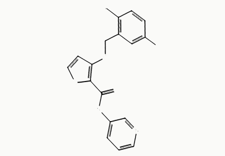 O=C(Nc1cccnc1)c1sccc1OCc1cc(Cl)ccc1Cl